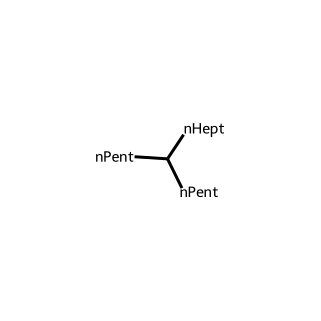 [CH2]CCCCCCC(CCCCC)CCCCC